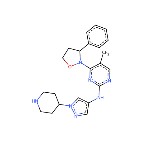 FC(F)(F)c1cnc(Nc2cnn(C3CCNCC3)c2)nc1N1OCCC1c1ccccc1